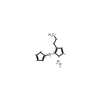 CCCC1=[C]([Zr+2][C]2=CC=CC2)CC=C1.[H-].[H-]